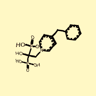 O=P(O)(O)C(O)(C[n+]1ccc(Cc2ccccc2)cc1)P(=O)(O)O